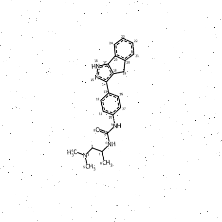 CC(CN(C)C)NC(=O)Nc1ccc(-c2n[nH]c3c2Cc2ccccc2-3)cc1